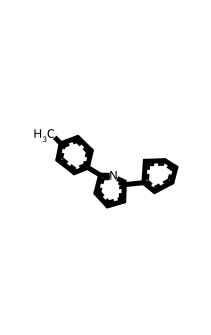 Cc1ccc(-c2cccc(-c3ccccc3)n2)cc1